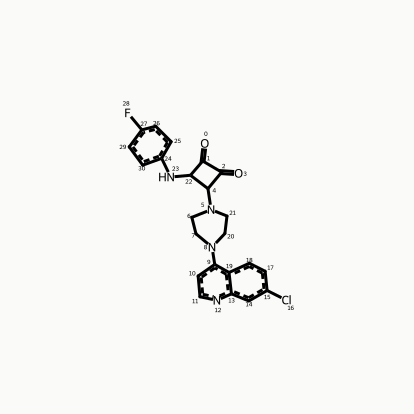 O=C1C(=O)C(N2CCN(c3ccnc4cc(Cl)ccc34)CC2)C1Nc1ccc(F)cc1